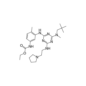 CCOC(=O)Nc1ccc(C)c(Nc2nc(NCCN3CCCC3)nc(N(C)CC(C)(C)C)n2)c1